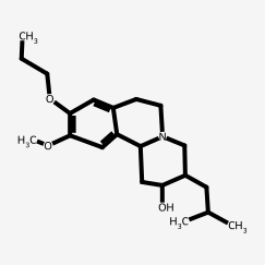 CCCOc1cc2c(cc1OC)C1CC(O)C(CC(C)C)CN1CC2